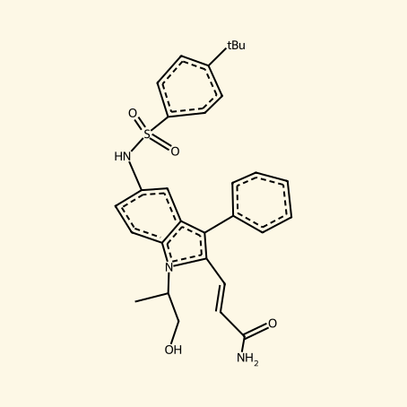 CC(CO)n1c(/C=C/C(N)=O)c(-c2ccccc2)c2cc(NS(=O)(=O)c3ccc(C(C)(C)C)cc3)ccc21